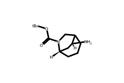 CC(C)(C)OC(=O)N1CC2CCC[C@H]1C[C@@H]2N